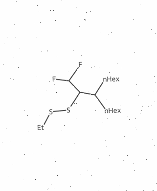 CCCCCCC(CCCCCC)C(SSCC)C(F)F